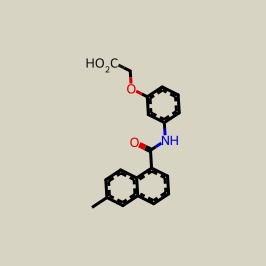 Cc1ccc2c(C(=O)Nc3cccc(OCC(=O)O)c3)cccc2c1